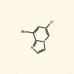 CC(C)(C)c1cc(Cl)cn2ccnc12